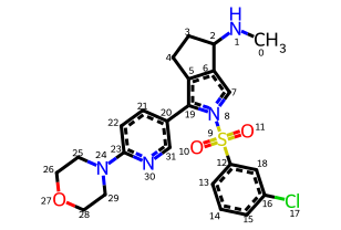 CNC1CCc2c1cn(S(=O)(=O)c1cccc(Cl)c1)c2-c1ccc(N2CCOCC2)nc1